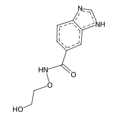 O=C(NOCCO)c1ccc2nc[nH]c2c1